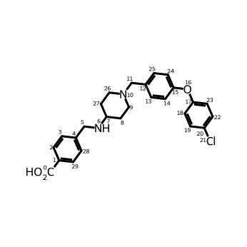 O=C(O)c1ccc(CNC2CCN(Cc3ccc(Oc4ccc(Cl)cc4)cc3)CC2)cc1